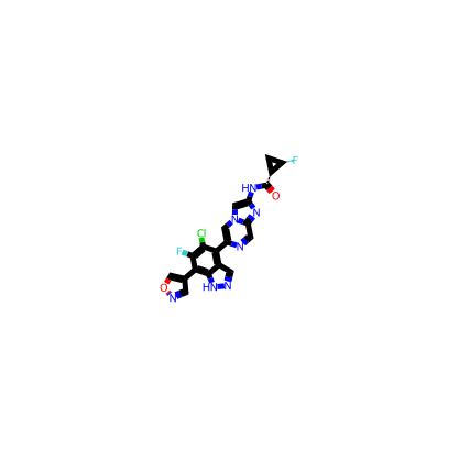 O=C(Nc1cn2cc(-c3c(Cl)c(F)c(-c4cnoc4)c4[nH]ncc34)ncc2n1)[C@@H]1C[C@@H]1F